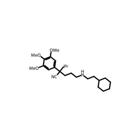 COc1cc(C(C#N)(CCCNCCC2CCCCC2)C(C)C)cc(OC)c1OC